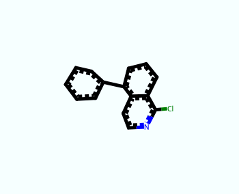 Clc1nccc2c(-c3ccccc3)cccc12